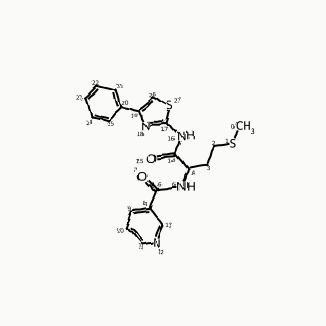 CSCCC(NC(=O)c1cccnc1)C(=O)Nc1nc(-c2ccccc2)cs1